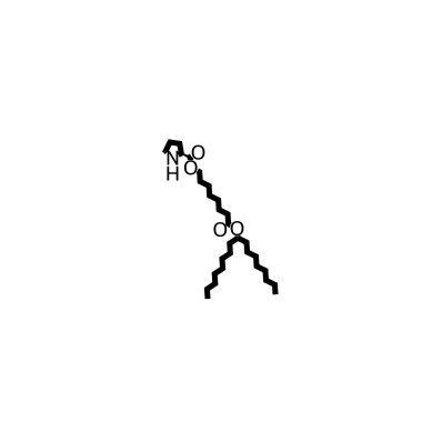 CCCCCCCCC(CCCCCCCC)OC(=O)CCCCCCCOC(=O)[C@@H]1CCCN1